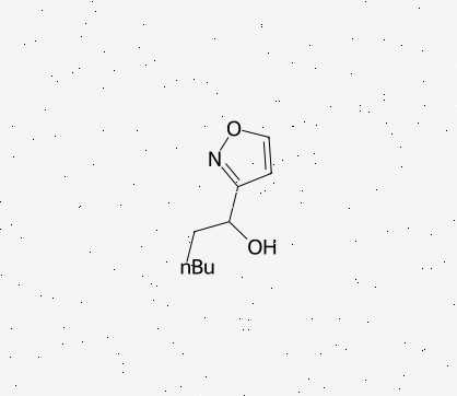 CCCCCC(O)c1ccon1